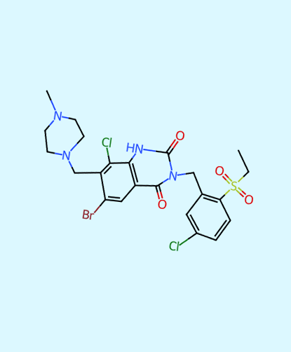 CCS(=O)(=O)c1ccc(Cl)cc1Cn1c(=O)[nH]c2c(Cl)c(CN3CCN(C)CC3)c(Br)cc2c1=O